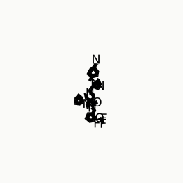 N#Cc1ccc(Cn2cncc2CN2CCC3(CC2)C(=O)N(Cc2ccccc2OC(F)(F)F)CN3c2ccccc2)cc1